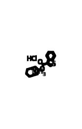 CN1C2CCCC1CC(OC(=O)c1csc3ccccc13)C2.Cl